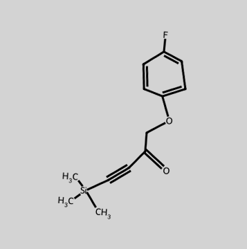 C[Si](C)(C)C#CC(=O)COc1ccc(F)cc1